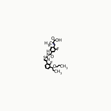 CCCOC(CC)c1cccc(-c2csc(NC(=O)c3cc(F)c(/C=C(\C)C(=O)O)c(F)c3)n2)c1F